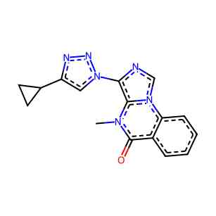 Cn1c(=O)c2ccccc2n2cnc(-n3cc(C4CC4)nn3)c12